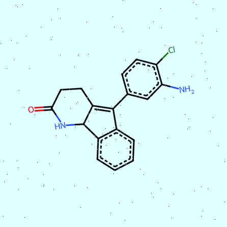 Nc1cc(C2=C3CCC(=O)NC3c3ccccc32)ccc1Cl